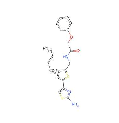 Nc1nc(-c2ccc(CNC(=O)COc3ccccc3)s2)cs1.O=C(O)C=CC(=O)O